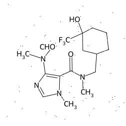 CN(CC1CCCC(O)(C(F)(F)F)C1)C(=O)c1c(N(C)C=O)ncn1C